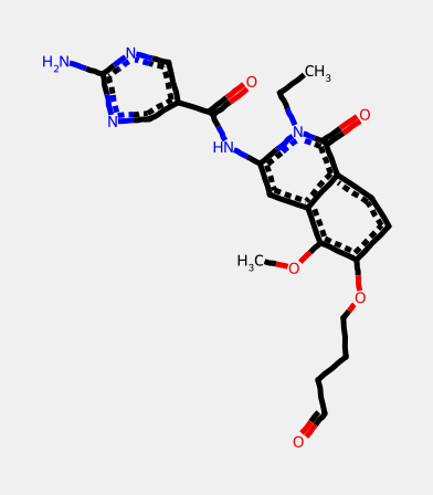 CCn1c(NC(=O)c2cnc(N)nc2)cc2c(OC)c(OCCCC=O)ccc2c1=O